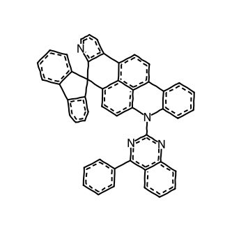 c1ccc(-c2nc(N3c4ccccc4-c4ccc5c6c(ccc3c46)C3(c4ccccc4-c4ccccc43)c3ncccc3-5)nc3ccccc23)cc1